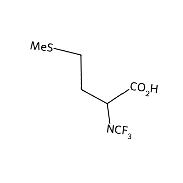 CSCCC(NC(F)(F)F)C(=O)O